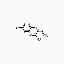 C=CC(Oc1ccc(Br)cc1)C(=O)O